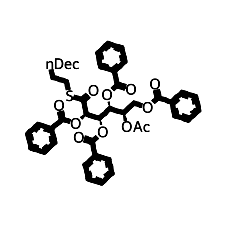 CCCCCCCCCCCCSC(=O)[C@H](OC(=O)c1ccccc1)[C@@H](OC(=O)c1ccccc1)[C@H](OC(=O)c1ccccc1)[C@@H](COC(=O)c1ccccc1)OC(C)=O